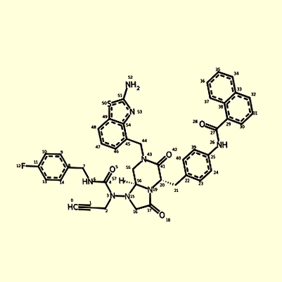 C#CCN(C(=O)NCc1ccc(F)cc1)N1CC(=O)N2[C@@H](Cc3ccc(NC(=O)c4cccc5ccccc45)cc3)C(=O)N(Cc3cccc4sc(N)nc34)C[C@@H]21